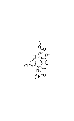 CCOC(=O)[C@H]1C[C@@H]1c1cc2c(cc1OC)OCc1c(C(=O)N(C)C(C)(C)C)nn(-c3cc(Cl)cc(Cl)c3)c1-2